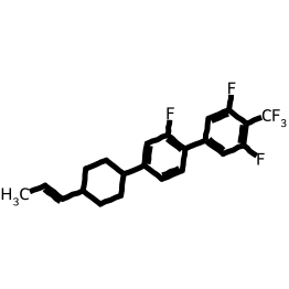 C/C=C/C1CCC(c2ccc(-c3cc(F)c(C(F)(F)F)c(F)c3)c(F)c2)CC1